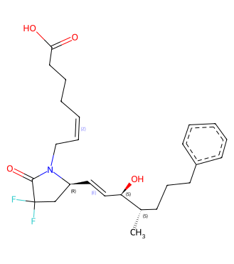 C[C@@H](CCCc1ccccc1)[C@H](O)/C=C/[C@H]1CC(F)(F)C(=O)N1C/C=C\CCCC(=O)O